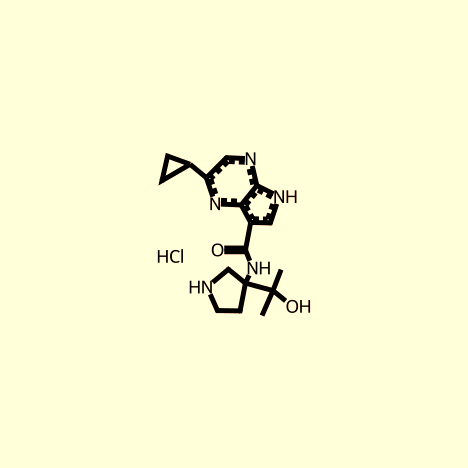 CC(C)(O)C1(NC(=O)c2c[nH]c3ncc(C4CC4)nc23)CCNC1.Cl